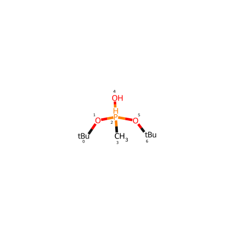 CC(C)(C)O[PH](C)(O)OC(C)(C)C